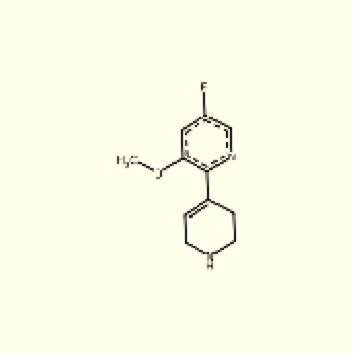 COc1cc(F)cnc1C1=CCNCC1